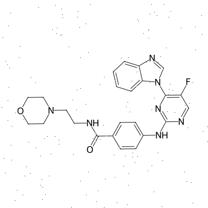 O=C(NCCN1CCOCC1)c1ccc(Nc2ncc(F)c(-n3cnc4ccccc43)n2)cc1